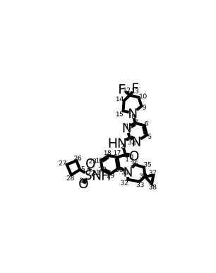 O=C(Nc1nccc(N2CCC(F)(F)CC2)n1)c1ccc(NS(=O)(=O)C2CCC2)cc1N1CCC2(CC1)CC2